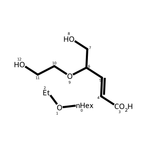 CCCCCCOCC.O=C(O)C=CC(CO)OCCO